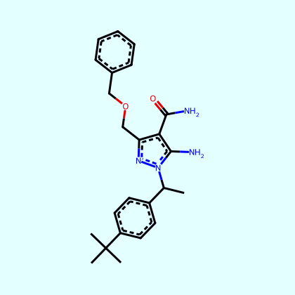 CC(c1ccc(C(C)(C)C)cc1)n1nc(COCc2ccccc2)c(C(N)=O)c1N